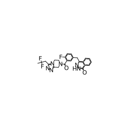 CC(F)(F)Cc1nnc2n1CCN(C(=O)c1cc(Cc3n[nH]c(=O)c4ccccc34)ccc1F)C2